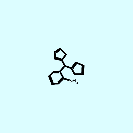 [SiH3]c1ccccc1C(C1=CC=CC1)C1=CC=CC1